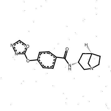 O=C(N[C@@H]1C[C@H]2CCN(C2)C1)c1ccc(Oc2nnco2)cc1